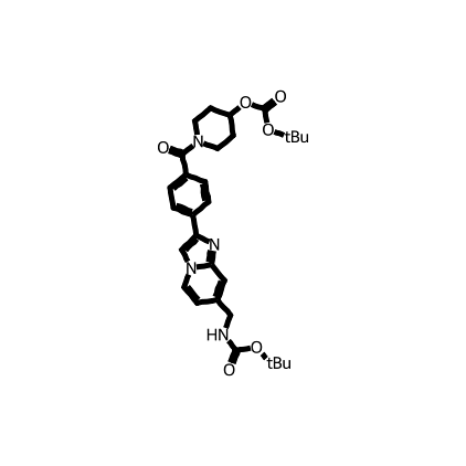 CC(C)(C)OC(=O)NCc1ccn2cc(-c3ccc(C(=O)N4CCC(OC(=O)OC(C)(C)C)CC4)cc3)nc2c1